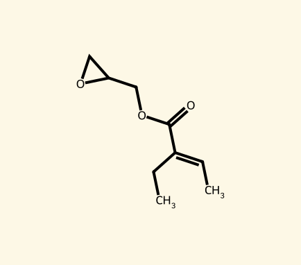 C/C=C(\CC)C(=O)OCC1CO1